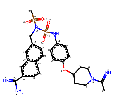 CC(=N)N1CCC(Oc2ccc(NS(=O)(=O)N(Cc3ccc4ccc(C(=N)N)cc4c3)S(C)(=O)=O)cc2)CC1